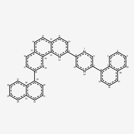 c1ccc2c(-c3cnc(-c4ccc5ccc6ccc(-c7cccc8ccccc78)nc6c5n4)cn3)cccc2c1